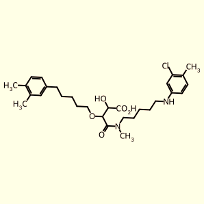 Cc1ccc(CCCCCOC(C(=O)N(C)CCCCCNc2ccc(C)c(Cl)c2)C(O)C(=O)O)cc1C